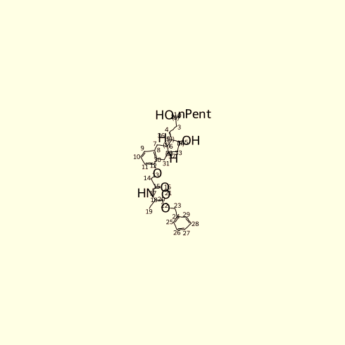 CCCCC[C@H](O)CC[C@@H]1[C@H]2Cc3cccc(OCC(=O)NC(C)C(=O)OCc4ccccc4)c3C[C@H]2C[C@H]1O